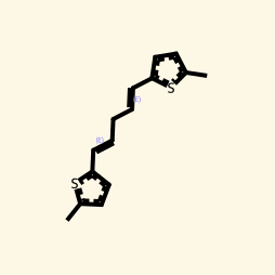 Cc1ccc(/C=C/C/C=C/c2ccc(C)s2)s1